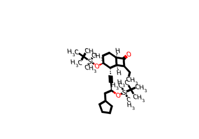 CCC1C(=O)[C@@H]2CC[C@H](O[Si](C)(C)C(C)(C)C)[C@@H](C#C[C@H](CC3CCCC3)O[Si](C)(C)C(C)(C)C)[C@H]12